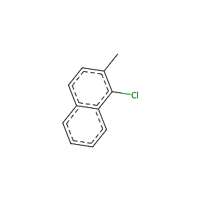 Cc1ccc2ccccc2c1Cl